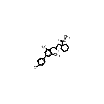 COC(=O)C1(CC(=O)Cc2c(C)cc(-c3ccc(Cl)cc3)cc2C)CCCCC1